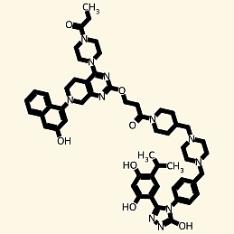 CCC(=O)N1CCN(c2nc(OCCC(=O)N3CCC(CN4CCN(Cc5ccc(-n6c(O)nnc6-c6cc(C(C)C)c(O)cc6O)cc5)CC4)CC3)nc3c2CCN(c2cc(O)cc4ccccc24)C3)CC1